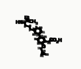 CCN(C)C(=N)CCCc1cccc(-c2ccc(OCC3CC3)c(CC(=O)O)c2)c1